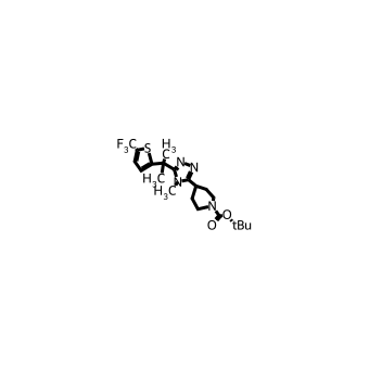 Cn1c(C2CCN(C(=O)OC(C)(C)C)CC2)nnc1C(C)(C)c1ccc(C(F)(F)F)s1